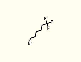 FC(F)(F)CCCCCBr